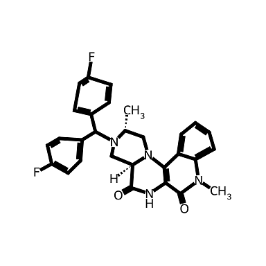 C[C@@H]1CN2c3c(c(=O)n(C)c4ccccc34)NC(=O)[C@H]2CN1C(c1ccc(F)cc1)c1ccc(F)cc1